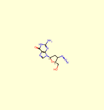 [N-]=[N+]=NC1C[C@H](n2cnc3c(=O)[nH]c(N)nc32)O[C@@H]1CO